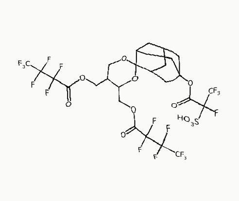 O=C(OCC1COC2(OC1COC(=O)C(F)(F)C(F)(F)C(F)(F)F)C1CC3CC2CC(OC(=O)C(F)(C(F)(F)F)S(=O)(=O)O)(C3)C1)C(F)(F)C(F)(F)C(F)(F)F